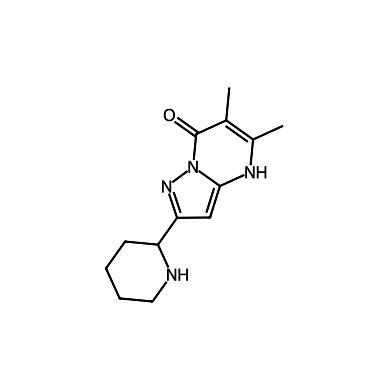 Cc1[nH]c2cc(C3CCCCN3)nn2c(=O)c1C